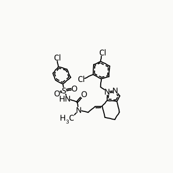 CN(C/C=C1\CCCc2cnn(Cc3ccc(Cl)cc3Cl)c21)C(=O)NS(=O)(=O)c1ccc(Cl)cc1